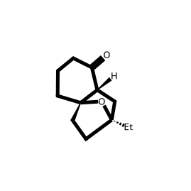 CC[C@@]12CC[C@]3(CCCC(=O)[C@@H]3C1)O2